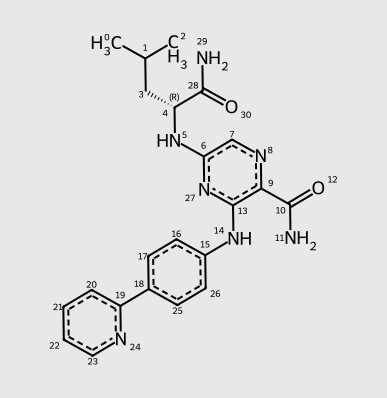 CC(C)C[C@@H](Nc1cnc(C(N)=O)c(Nc2ccc(-c3ccccn3)cc2)n1)C(N)=O